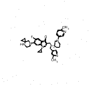 Cc1ccc(N2CCC[C@H](N(Cc3ccnc(C)c3)Cc3cn(C4CC4)c4cc(N5CCNC6(CC6)C5)c(F)cc4c3=O)C2)cn1